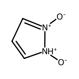 [O-][N+]1=CC=C[NH+]1[O-]